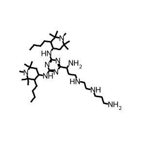 CCCCC1C(Nc2nc(NC3CC(C)(C)N(C)C(C)(C)C3CCCC)nc(C(N)CCNCCNCCCN)n2)CC(C)(C)N(C)C1(C)C